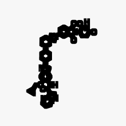 O=C1CCC(N2C(=O)c3ccc(N4CC5(CCCN(C6CCC(n7cc8cc(NC(=O)c9cnn%10cccnc9%10)c(OCC9CC9)cc8n7)CC6)C5)C4)cc3C2=O)C(=O)N1